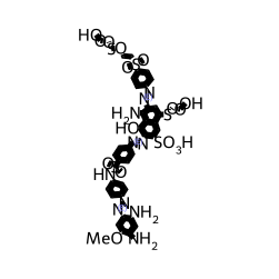 COc1cc(/N=N/c2ccc(NS(=O)(=O)c3ccc(/N=N/c4c(S(=O)(=O)O)cc5c(SOOO)cc(/N=N/c6ccc(S(=O)(=O)CCOSOOO)cc6)c(N)c5c4O)cc3)cc2)c(N)cc1N